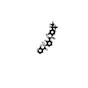 CN(C(=O)c1cccnc1Cl)c1cccc(C(=O)N(Br)c2ccc(C(F)(C(F)(F)F)C(F)(F)F)cc2Br)c1F